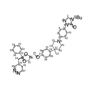 CCC(C)n1cnn(-c2ccc(N3CCC(C)(c4ccc(OC[C@@H]5CO[C@](Cc6ccnnc6)(c6ccccc6)O5)cc4)CC3)cc2)c1=O